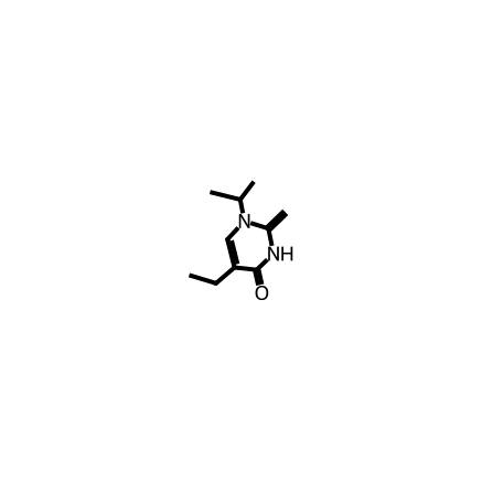 C=C1NC(=O)C(CC)=CN1C(C)C